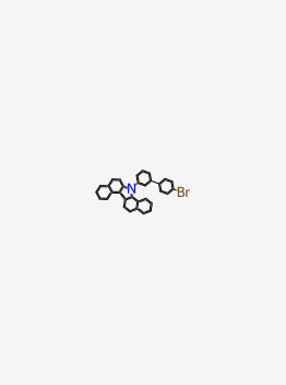 Brc1ccc(-c2cccc(-n3c4ccc5ccccc5c4c4ccc5ccccc5c43)c2)cc1